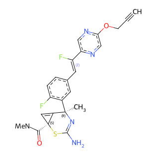 C#CCOc1cnc(/C(F)=C/c2ccc(F)c([C@@]3(C)N=C(N)S[C@@]4(C(=O)NC)C=C43)c2)cn1